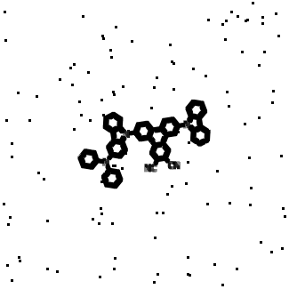 N#Cc1cc2c3cc(-n4c5ccccc5c5ccccc54)ccc3c3ccc(-n4c5ccccc5c5cc(N(c6ccccc6)c6ccccc6)ccc54)cc3c2cc1C#N